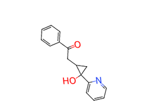 O=C(CC1CC1(O)c1ccccn1)c1ccccc1